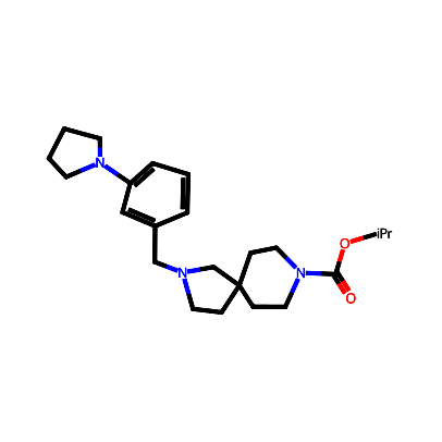 CC(C)OC(=O)N1CCC2(CCN(Cc3cccc(N4CCCC4)c3)C2)CC1